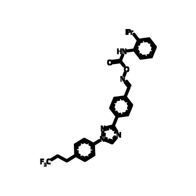 CC(C)c1ccccc1NC(=O)O/N=C/c1ccc(-c2ncn(-c3ccc(CCC(F)(F)F)cc3)n2)cc1